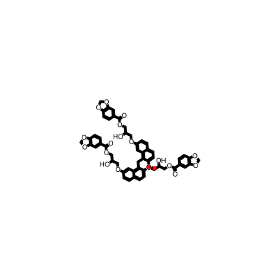 COc1ccc2ccc(OCC(O)COC(=O)c3ccc4c(c3)OCO4)cc2c1Cc1c(OCC(O)COC(=O)c2ccc3c(c2)OCO3)ccc2ccc(OCC(O)COC(=O)c3ccc4c(c3)OCO4)cc12